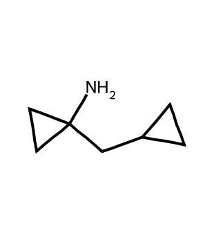 NC1(CC2CC2)CC1